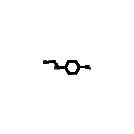 CC(C)(C)SNC1CCC(C(F)(F)F)CC1